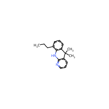 CCCc1cccc2c1Nc1ncccc1C2(C)C